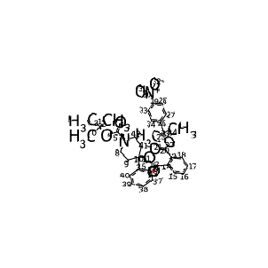 CC(C)(C)OC(=O)N1CCC(OC(=O)c2ccccc2C(=O)OC(C)(C)c2ccc([N+](=O)[O-])cc2)(c2ccccc2)CC1